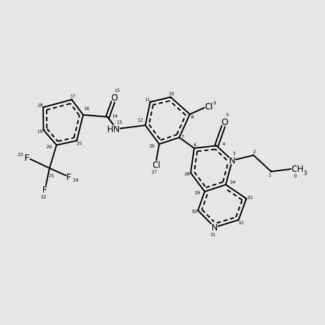 CCCn1c(=O)c(-c2c(Cl)ccc(NC(=O)c3cccc(C(F)(F)F)c3)c2Cl)cc2cnccc21